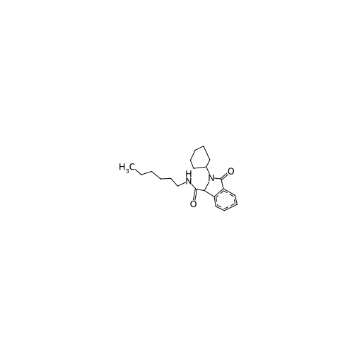 CCCCCCNC(=O)C1c2ccccc2C(=O)N1C1CCCCC1